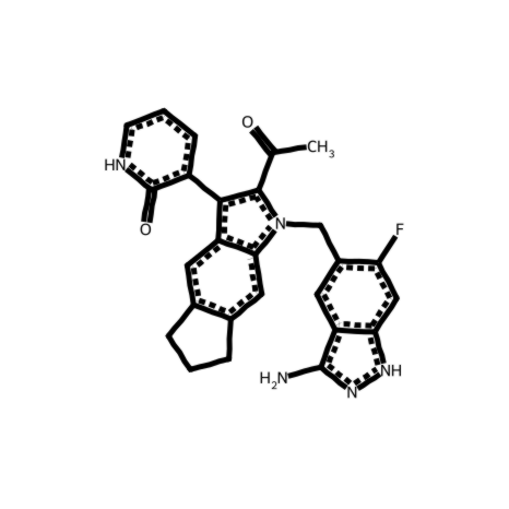 CC(=O)c1c(-c2ccc[nH]c2=O)c2cc3c(cc2n1Cc1cc2c(N)n[nH]c2cc1F)CCC3